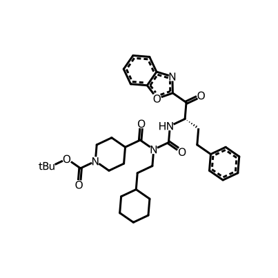 CC(C)(C)OC(=O)N1CCC(C(=O)N(CCC2CCCCC2)C(=O)N[C@@H](CCc2ccccc2)C(=O)c2nc3ccccc3o2)CC1